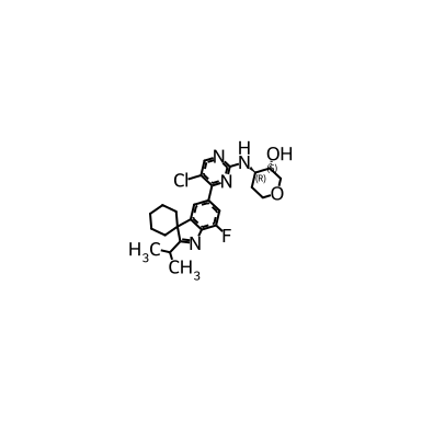 CC(C)C1=Nc2c(F)cc(-c3nc(N[C@@H]4CCOC[C@H]4O)ncc3Cl)cc2C12CCCCC2